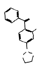 O=C(c1ccccc1)c1ccc(B2OCCO2)cc1O